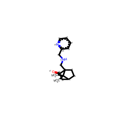 CC1(C)C2CCC1(CNCc1ccccn1)C(=O)C2